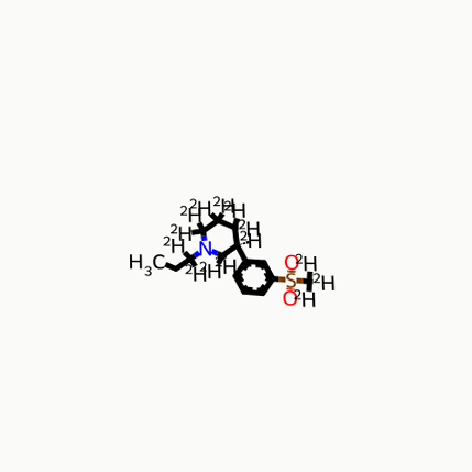 [2H]C([2H])(CC)N1C([2H])([2H])C([2H])([2H])C([2H])([2H])[C@@]([2H])(c2cccc(S(=O)(=O)C([2H])([2H])[2H])c2)C1([2H])[2H]